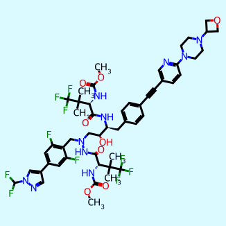 COC(=O)N[C@H](C(=O)N[C@@H](Cc1ccc(C#Cc2ccc(N3CCN(C4COC4)CC3)nc2)cc1)[C@@H](O)CN(Cc1c(F)cc(-c2cnn(C(F)F)c2)cc1F)NC(=O)[C@@H](NC(=O)OC)C(C)(C)C(F)(F)F)C(C)(C)C(F)(F)F